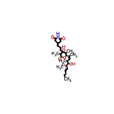 CCC/C=C/[C@H](OC)[C@@H](O)C(C)/C=C(/C)[C@@H]1OC(=O)C(C)C(O)(CCCC2CC(=O)NC(=O)C2)[C@H]1C